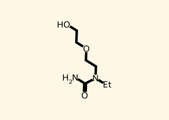 [CH2]CN(CCOCCO)C(N)=O